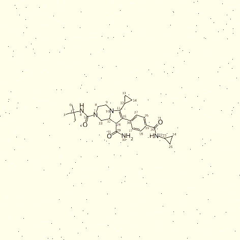 CC(C)(C)NC(=O)N1CCN2C(C3CC3)=C(c3ccc(C(=O)NC4CC4)cc3)C(C(N)=O)C2C1